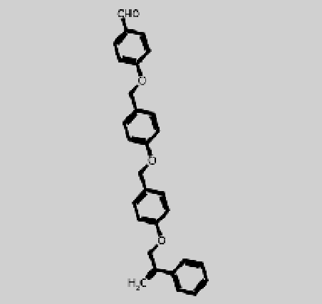 C=C(COc1ccc(COc2ccc(COc3ccc(C=O)cc3)cc2)cc1)c1ccccc1